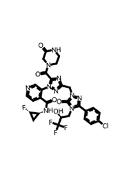 O=C1CN(C(=O)c2nc(Cn3nc(-c4ccc(Cl)cc4)n(C[C@H](O)C(F)(F)F)c3=O)nn2-c2cnccc2C(=O)N[C@@H]2C[C@@H]2F)CCN1